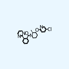 C[C@H]1[C@H](Oc2ccc(Cl)cn2)CCCN1C(=O)c1ccccc1-c1ncccn1